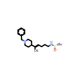 CC(C)(C)[S+]([O-])NCCCC=C(C#N)C1CCN(Cc2ccccc2)CC1